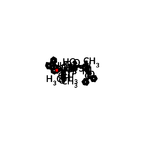 COC(C)(C)ON=C(C(=O)N[C@@H]1C(=O)N2C(C(=O)O)=C(CSc3cc(C)nc4nc(C(=O)OC(c5ccccc5)c5ccccc5)nn34)CS[C@H]12)c1csc(NC(c2ccccc2)(c2ccccc2)c2ccccc2)n1